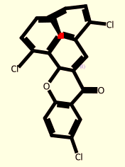 O=C1/C(=C/c2ccccc2Cl)C(c2ccccc2Cl)Oc2ccc(Cl)cc21